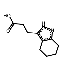 O=C(O)CCc1[nH]nc2c1CCCC2